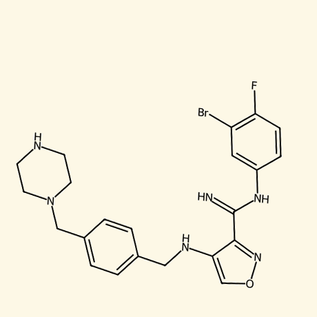 N=C(Nc1ccc(F)c(Br)c1)c1nocc1NCc1ccc(CN2CCNCC2)cc1